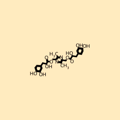 Cc1nc(COC(=O)C(O)Cc2ccc(O)c(O)c2)c(C)nc1COC(=O)C(O)Cc1ccc(O)c(O)c1